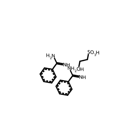 N=C(N)c1ccccc1.N=C(N)c1ccccc1.O=S(=O)(O)CCO